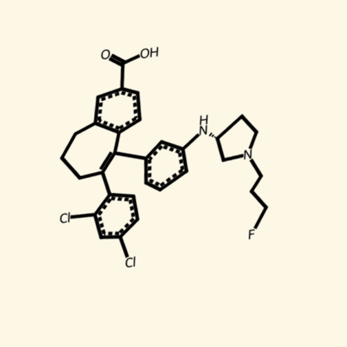 O=C(O)c1ccc2c(c1)CCCC(c1ccc(Cl)cc1Cl)=C2c1cccc(N[C@@H]2CCN(CCCF)C2)c1